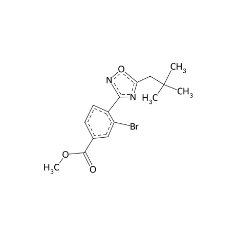 COC(=O)c1ccc(-c2noc(CC(C)(C)C)n2)c(Br)c1